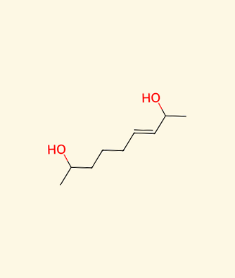 CC(O)/C=C/CCCC(C)O